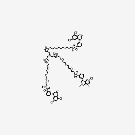 CN1Cc2c(Cl)cc(Cl)cc2[C@H](c2cccc(S(=O)(=O)NCCCCCCCCCCCn3nncc3CN(Cc3cn(CCOCCOCCOCCNS(=O)(=O)c4cccc([C@@H]5CN(C)Cc6c(Cl)cc(Cl)cc65)c4)nn3)Cc3cn(CCOCCOCCOCCNS(=O)(=O)c4cccc([C@@H]5CN(C)Cc6c(Cl)cc(Cl)cc65)c4)nn3)c2)C1